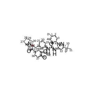 Cc1ccc(-n2nc(C(C)(C)C)cc2NC(=O)Nc2cccc(CC3CC4CCC(C3)N4CC(=O)c3ccc4c(c3)OCO4)c2)cc1